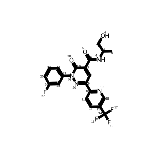 CC(CO)NC(=O)c1cc(-c2ccc(C(F)(F)F)cn2)nn(-c2cccc(F)c2)c1=O